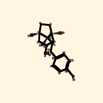 CN1C[C@H]2CC[C@@H](C1)[C@H]2OCc1ccc(F)nc1